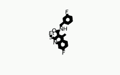 CCSc1nc2cc(F)ccc2c(C)c1C(=O)NCc1cccc(F)c1